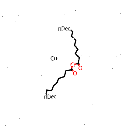 CCCCCCCCCCCCCCCCCC(=O)OC(=O)CCCCCCCCCCCCCCCCC.[Cu]